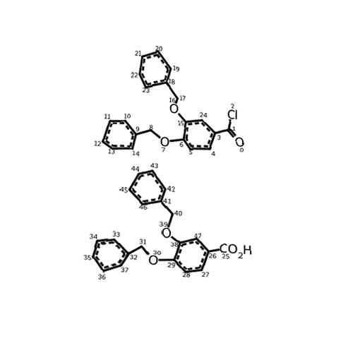 O=C(Cl)c1ccc(OCc2ccccc2)c(OCc2ccccc2)c1.O=C(O)c1ccc(OCc2ccccc2)c(OCc2ccccc2)c1